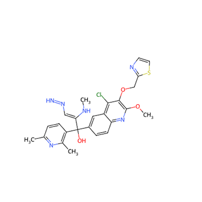 CN/C(=C\N=N)C(O)(c1ccc2nc(OC)c(OCc3nccs3)c(Cl)c2c1)c1ccc(C)nc1C